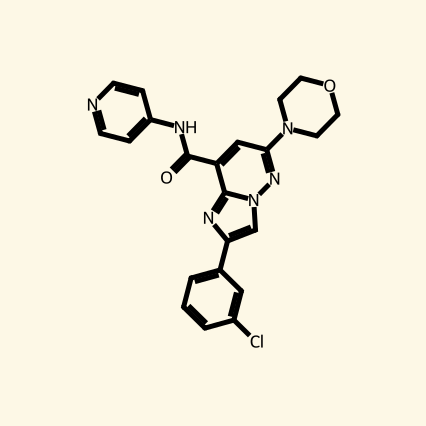 O=C(Nc1ccncc1)c1cc(N2CCOCC2)nn2cc(-c3cccc(Cl)c3)nc12